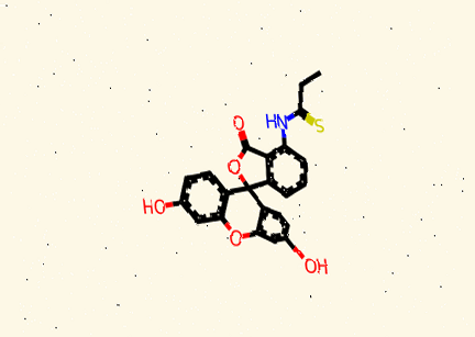 CCC(=S)Nc1cccc2c1C(=O)OC21c2ccc(O)cc2Oc2cc(O)ccc21